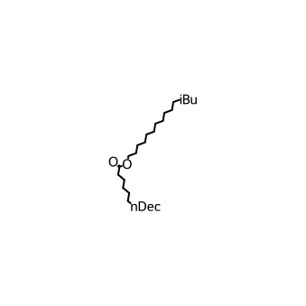 CCCCCCCCCCCCCCCC(=O)OCCCCCCCCCCCC(C)CC